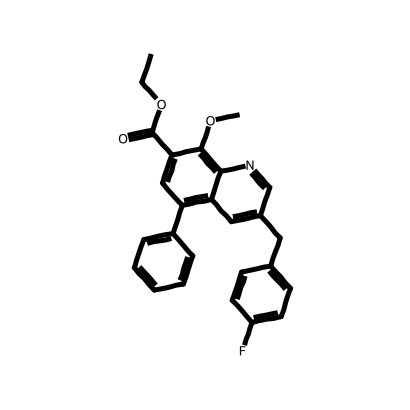 CCOC(=O)c1cc(-c2ccccc2)c2cc(Cc3ccc(F)cc3)cnc2c1OC